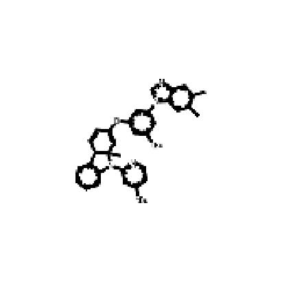 Cc1cc2ncn(-c3cc(OC4=CC5(C)C(C=C4)c4ccccc4N5c4cc(C(C)(C)C)ccn4)cc(C(C)(C)C)c3)c2cc1C